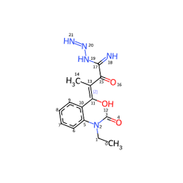 CCN(C=O)c1ccccc1/C(O)=C(\C)C(=O)C(=N)NN=N